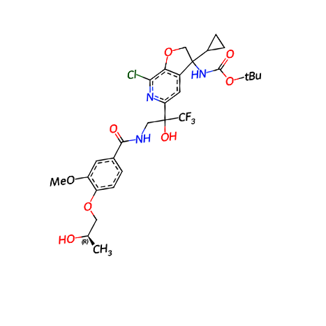 COc1cc(C(=O)NCC(O)(c2cc3c(c(Cl)n2)OCC3(NC(=O)OC(C)(C)C)C2CC2)C(F)(F)F)ccc1OC[C@@H](C)O